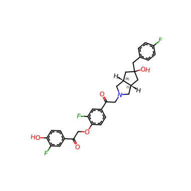 O=C(COc1ccc(C(=O)CN2C[C@@H]3CC(O)(Cc4ccc(F)cc4)C[C@@H]3C2)cc1F)c1ccc(O)c(F)c1